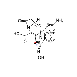 Nc1nc(C2(NC(=O)C=NO)S[C@H]3CC(=O)N3C(C(=O)O)=C2/C=C\c2cccnc2)c(Cl)s1